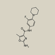 Cc1oc(N)nc1C(=O)Nc1ccc(N2CCCCC2)c(F)c1